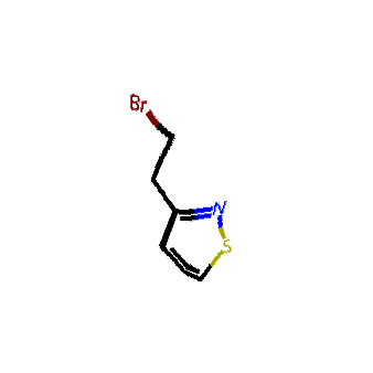 BrCCc1ccsn1